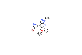 CCn1ncc2c(-c3cncc(Br)c3)c(COC)c(C3CCCC3)nc21